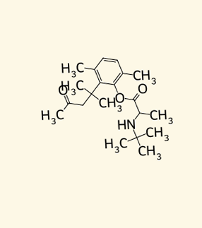 CC(=O)CC(C)(C)c1c(C)ccc(C)c1OC(=O)C(C)NC(C)(C)C